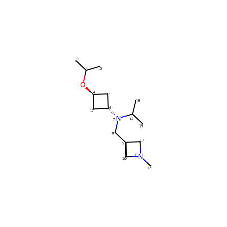 CC(C)O[C@H]1C[C@H](N(CC2CN(C)C2)C(C)C)C1